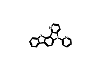 c1ccc(-n2c3cccnc3c3c4sc5ccccc5c4ccc32)nc1